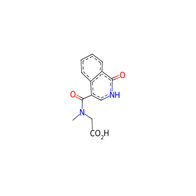 CN(CC(=O)O)C(=O)c1c[nH]c(=O)c2ccccc12